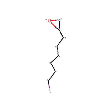 ICCCCCCC1CO1